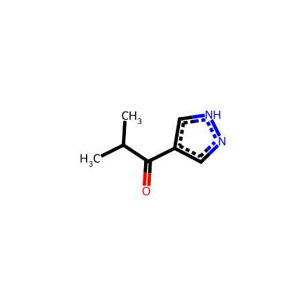 CC(C)C(=O)c1cn[nH]c1